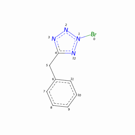 Brn1nnc(Cc2ccccc2)n1